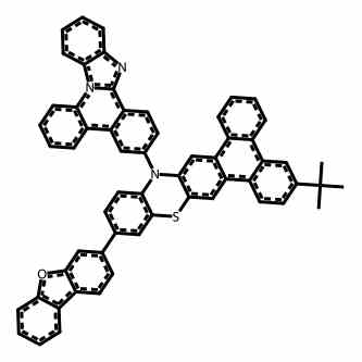 CC(C)(C)c1ccc2c(c1)c1ccccc1c1cc3c(cc21)Sc1cc(-c2ccc4c(c2)oc2ccccc24)ccc1N3c1ccc2c(c1)c1ccccc1n1c3ccccc3nc21